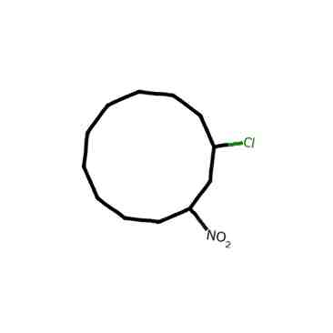 O=[N+]([O-])C1CCCCCCCCCC(Cl)C1